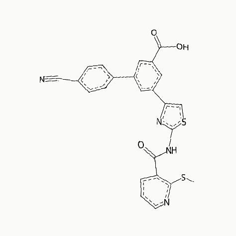 CSc1ncccc1C(=O)Nc1nc(-c2cc(C(=O)O)cc(-c3ccc(C#N)cc3)c2)cs1